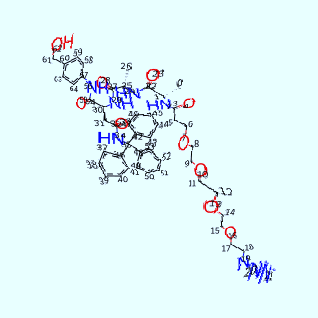 C[C@H](NC(=O)CCOCCOCCOCCOCCN=[N+]=[N-])C(=O)N[C@@H](C)C(=O)N[C@@H](CC(=O)NC(c1ccccc1)(c1ccccc1)c1ccccc1)C(=O)Nc1ccc(CO)cc1